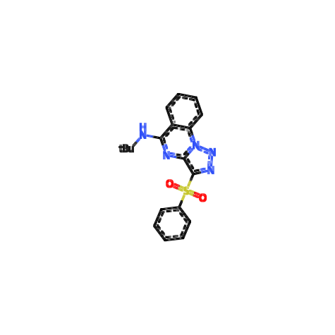 CC(C)(C)Nc1nc2c(S(=O)(=O)c3ccccc3)nnn2c2ccccc12